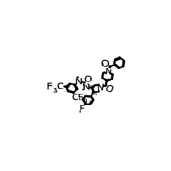 CN(C(=O)N(C)[C@@H]1CN(C(=O)C2CCN(C(=O)c3ccccc3)CC2)C[C@H]1c1ccc(F)cc1)c1cc(C(F)(F)F)cc(C(F)(F)F)c1